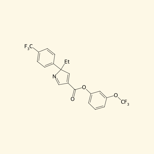 CCC1(c2ccc(C(F)(F)F)cc2)C=C(C(=O)Oc2cccc(OC(F)(F)F)c2)C=N1